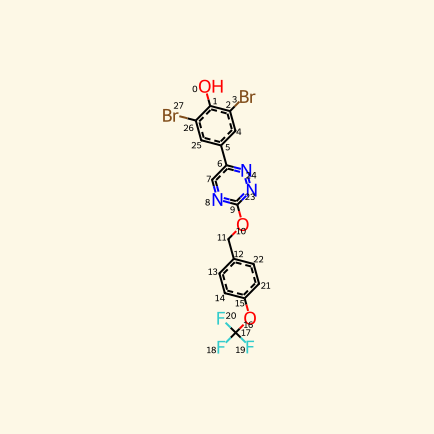 Oc1c(Br)cc(-c2cnc(OCc3ccc(OC(F)(F)F)cc3)nn2)cc1Br